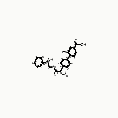 Cc1cc(C(=O)O)ccc1-c1ccc(C[C@@H](C)NC[C@H](O)c2cccnc2)cc1.Cl.Cl